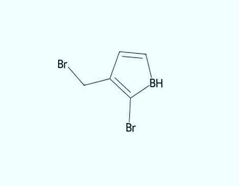 BrCC1=C(Br)BC=C1